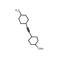 COC1CCC(C#CC2CCC(C)CC2)CC1